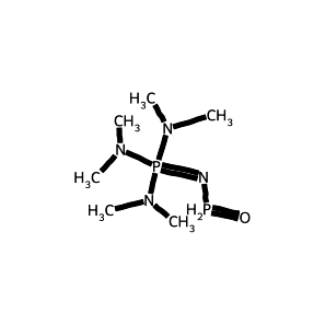 CN(C)P(=N[PH2]=O)(N(C)C)N(C)C